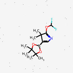 CC1(C)C(B2OC(C)(C)C(C)(C)O2)=CN=C1OC(F)F